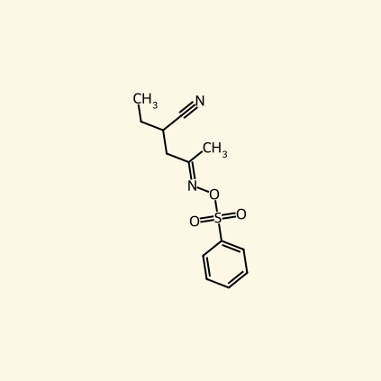 CCC(C#N)C/C(C)=N/OS(=O)(=O)c1ccccc1